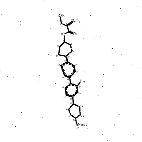 C=C(CO)C(=O)OC1CCC(c2ccc(-c3ccc(C4CCC(CCCCC)CC4)cc3F)cc2)CC1